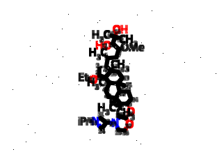 CCO[C@H]1C[C@H]([C@H](C)CC(OC)[C@H](O)C(C)(C)O)[C@@]2(C)CCC34C[C@@]35CC[C@H](O[C@H]3CN(C6CN(C(C)C)C6)CCO3)C(C)(C)[C@@H]5CCC4[C@]12C